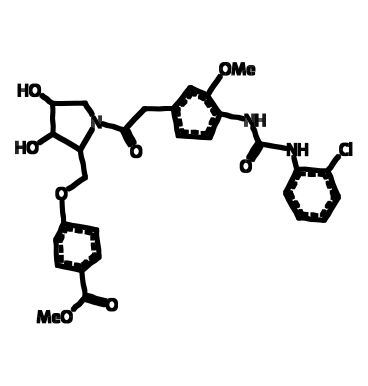 COC(=O)c1ccc(OCC2C(O)C(O)CN2C(=O)Cc2ccc(NC(=O)Nc3ccccc3Cl)c(OC)c2)cc1